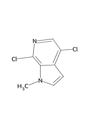 Cn1ccc2c(Cl)cnc(Cl)c21